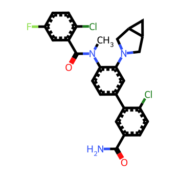 CN(C(=O)c1cc(F)ccc1Cl)c1ccc(-c2cc(C(N)=O)ccc2Cl)cc1N1CC2CC2C1